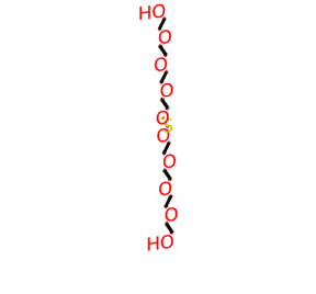 OCCOCCOCCOCCOSOCCOCCOCCOCCO